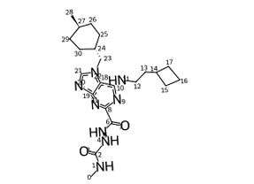 CNC(=O)NNC(=O)c1nc(NCCC2CCC2)c2c(ncn2C[C@H]2CC[C@H](C)CC2)n1